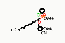 CCCCCCCCCCCCCCCCCCC[C@H](COP(=O)(OC)Oc1ccccc1Cl)OCc1ccc(C#N)c(OC)c1